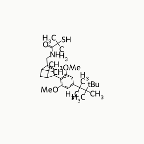 COc1cc(C(C)(C)C(C)(C)C(C)(C)C)cc(OC)c1C1C=C(CNC(=O)C(C)(C)S)C2CC1C2(C)C